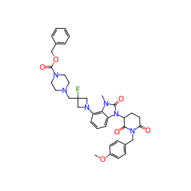 COc1ccc(CN2C(=O)CCC(n3c(=O)n(C)c4c(N5CC(F)(CN6CCN(C(=O)OCc7ccccc7)CC6)C5)cccc43)C2=O)cc1